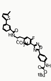 Cc1ccc(-c2cccc(C(=O)N[C@H](Cc3ccc(-c4noc(-c5ccc(NC(=O)OC(C)(C)C)cc5)n4)c(F)c3)C(=O)O)c2)s1